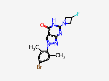 Cc1cc(Br)cc(C)c1-n1cc2c(=O)[nH]c(N3CC(F)C3)nc2n1